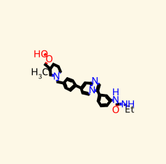 CCNC(=O)Nc1cccc(-c2cnc3cc(-c4ccc(CN5CCCC(C)(COO)C5)cc4)ccn23)c1